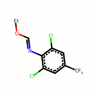 CCOC=Nc1c(Cl)cc(C(F)(F)F)cc1Cl